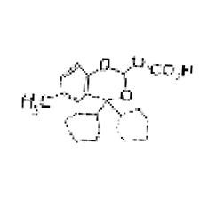 Cc1ccc2c(c1)C(C1CCCCC1)(C1CCCCC1)OC(OC(=O)O)O2